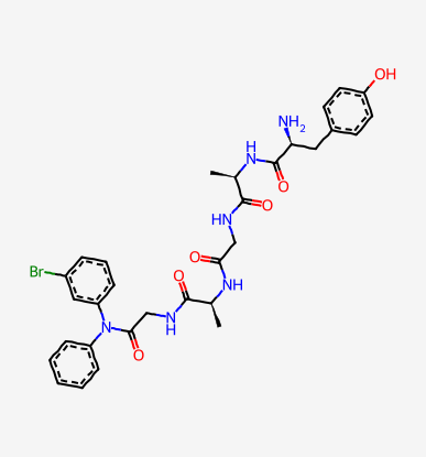 C[C@H](NC(=O)CNC(=O)[C@@H](C)NC(=O)[C@@H](N)Cc1ccc(O)cc1)C(=O)NCC(=O)N(c1ccccc1)c1cccc(Br)c1